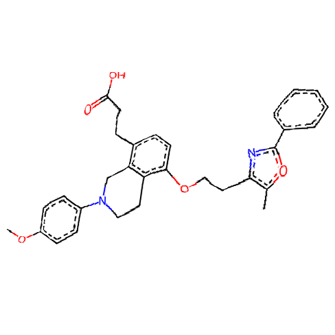 COc1ccc(N2CCc3c(OCCc4nc(-c5ccccc5)oc4C)ccc(CCC(=O)O)c3C2)cc1